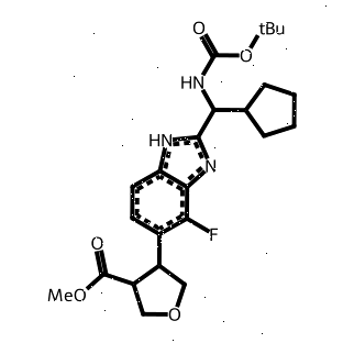 COC(=O)C1COCC1c1ccc2[nH]c(C(NC(=O)OC(C)(C)C)C3CCCC3)nc2c1F